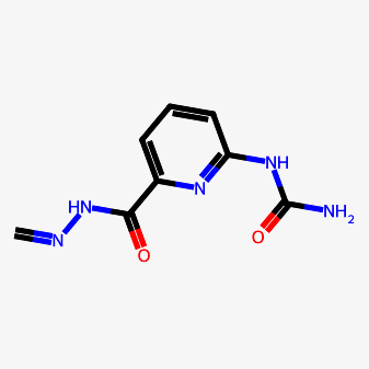 C=NNC(=O)c1cccc(NC(N)=O)n1